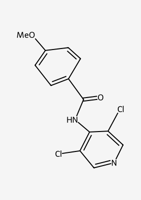 COc1ccc(C(=O)Nc2c(Cl)cncc2Cl)cc1